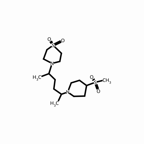 CC(CCC(C)N1CCS(=O)(=O)CC1)N1CCC(S(C)(=O)=O)CC1